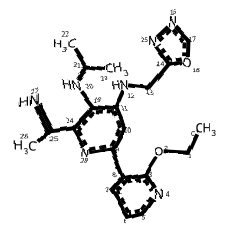 CCOc1ncccc1-c1cc(NCc2nnco2)c(NC(C)C)c(C(C)=N)n1